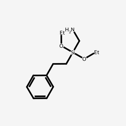 CCO[Si](CN)(CCc1ccccc1)OCC